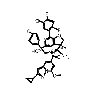 COc1cc(C(=O)NC[C@@](O)(c2ccc(F)cc2)c2cc3c(c(-c4cc(Cl)c(F)cc4F)n2)OC[C@]3(C)C(N)=O)cc2cc(C3CC3)nn12